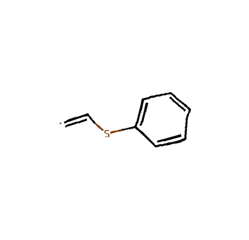 [CH]=CSc1ccccc1